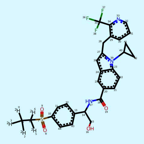 [2H]C([2H])([2H])C([2H])([2H])S(=O)(=O)c1ccc(C(CO)NC(=O)c2ccc3c(c2)cc(Cc2cccnc2C(F)(F)F)n3C2CC2)cc1